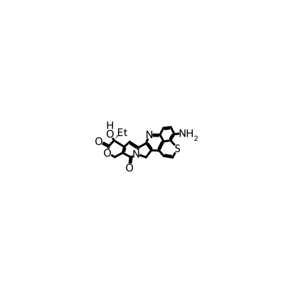 CC[C@@]1(O)C(=O)OCc2c1cc1n(c2=O)Cc2c-1nc1ccc(N)c3c1c2C=CS3